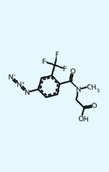 CN(CC(=O)O)C(=O)c1ccc(N=[N+]=[N-])cc1C(F)(F)F